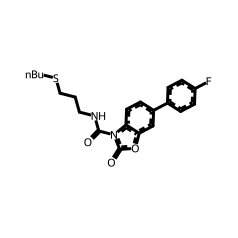 CCCCSCCCNC(=O)n1c(=O)oc2cc(-c3ccc(F)cc3)ccc21